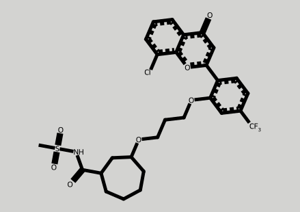 CS(=O)(=O)NC(=O)C1CCCCC(OCCCOc2cc(C(F)(F)F)ccc2-c2cc(=O)c3cccc(Cl)c3o2)C1